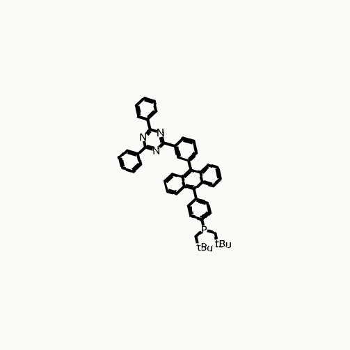 CC(C)(C)CP(CC(C)(C)C)c1ccc(-c2c3ccccc3c(-c3cccc(-c4nc(-c5ccccc5)nc(-c5ccccc5)n4)c3)c3ccccc23)cc1